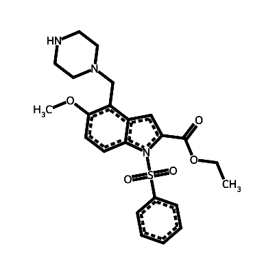 CCOC(=O)c1cc2c(CN3CCNCC3)c(OC)ccc2n1S(=O)(=O)c1ccccc1